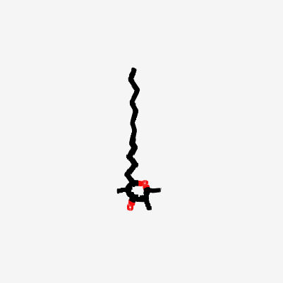 CCCCCCCCCCCCc1oc(C)c(C)c(=O)c1C